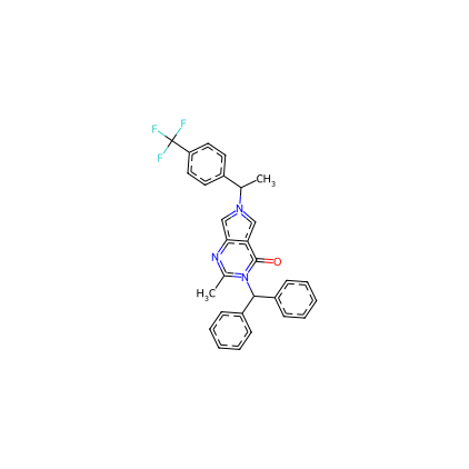 Cc1nc2cn(C(C)c3ccc(C(F)(F)F)cc3)cc2c(=O)n1C(c1ccccc1)c1ccccc1